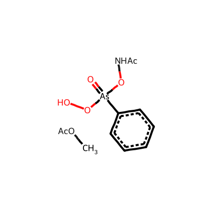 CC(=O)NO[As](=O)(OO)c1ccccc1.COC(C)=O